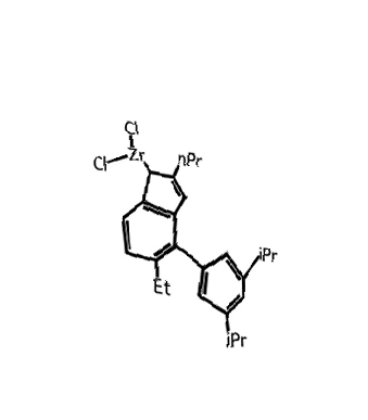 CCCC1=Cc2c(ccc(CC)c2-c2cc(C(C)C)cc(C(C)C)c2)[CH]1[Zr]([Cl])[Cl]